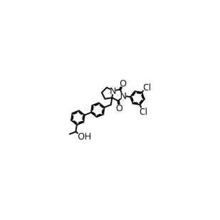 CC(O)c1cccc(-c2ccc(CC34CCCN3C(=O)N(c3cc(Cl)cc(Cl)c3)C4=O)cc2)c1